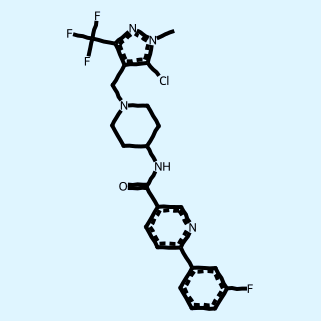 Cn1nc(C(F)(F)F)c(CN2CCC(NC(=O)c3ccc(-c4cccc(F)c4)nc3)CC2)c1Cl